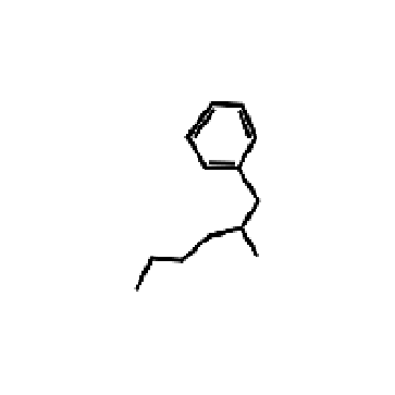 CCCC[C](C)Cc1ccccc1